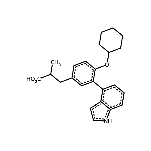 CC(Cc1ccc(OC2CCCCC2)c(-c2cccc3[nH]ccc23)c1)C(=O)O